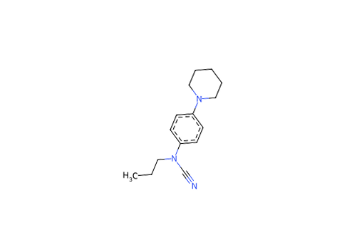 CCCN(C#N)c1ccc(N2CCCCC2)cc1